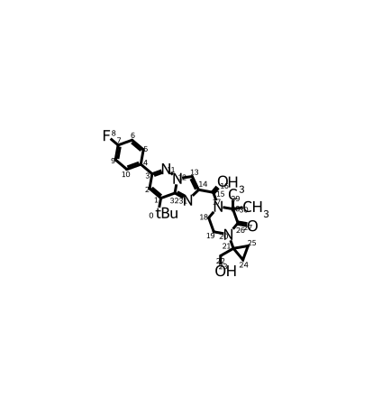 CC(C)(C)c1cc(-c2ccc(F)cc2)nn2cc(C(=O)N3CCN(C4(CO)CC4)C(=O)C3(C)C)nc12